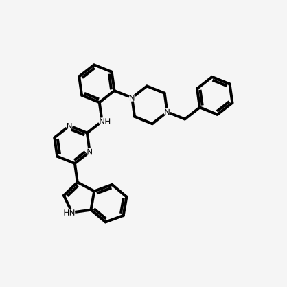 c1ccc(CN2CCN(c3ccccc3Nc3nccc(-c4c[nH]c5ccccc45)n3)CC2)cc1